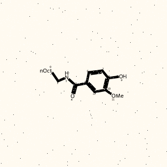 CCCCCCCCCNC(=O)c1ccc(O)c(OC)c1